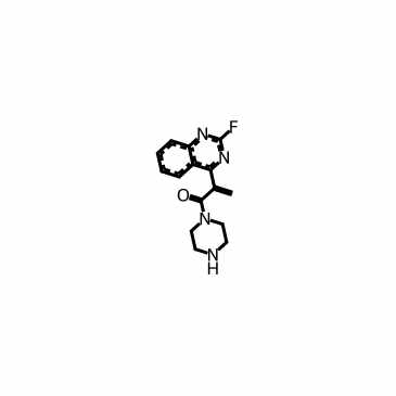 C=C(C(=O)N1CCNCC1)c1nc(F)nc2ccccc12